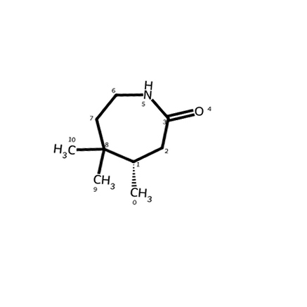 C[C@H]1CC(=O)NCCC1(C)C